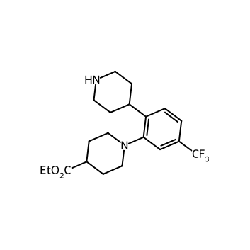 CCOC(=O)C1CCN(c2cc(C(F)(F)F)ccc2C2CCNCC2)CC1